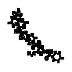 Cc1nc(NC(=O)C2CCCCC2)sc1S(=O)(=O)N1CCN(C[C@H](C)Nc2ncnc3c(C(F)(F)F)cccc23)CC1